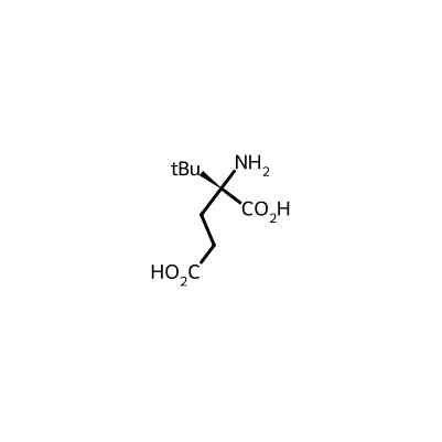 CC(C)(C)[C@](N)(CCC(=O)O)C(=O)O